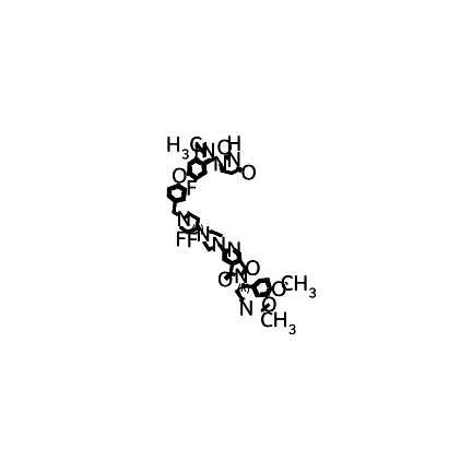 CCOc1cc([C@@H](CC#N)N2C(=O)c3cnc(N4CCN([C@H]5CCN(Cc6ccc(Oc7cc8c(cc7F)c(N7CCC(=O)NC7=O)nn8C)cc6)CC5(F)F)CC4)cc3C2=O)ccc1OC